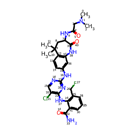 CN(C)CC(=O)NC1CC(C)(C)c2ccc(Nc3ncc(Cl)c(Nc4c(CF)cccc4C(N)=O)n3)cc2NC1=O